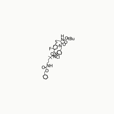 CC(C)(C)OC(=O)N[C@H]1CSc2cc(F)c(-c3nnc(C(C)(C)CCCNC(=O)OCc4ccccc4)o3)cc2N(Cc2ccc(Cl)cc2)C1=O